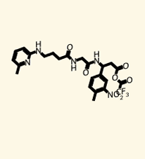 Cc1cccc(NCCCC(=O)NCC(=O)NC(CC(=O)OC(=O)C(F)(F)F)c2ccc(C)c([N+](=O)[O-])c2)n1